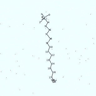 C[Si](C)(C)CCCCCCCCCCCCCCBr